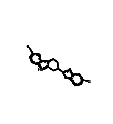 Clc1ccc2nc(N3CCc4c([nH]c5ccc(Cl)cc45)C3)oc2c1